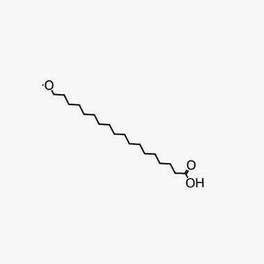 [O]CCCCCCCCCCCCCCCCCC(=O)O